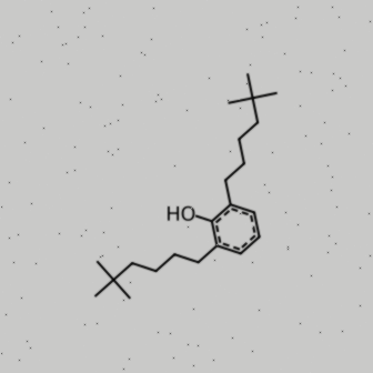 CC(C)(C)CCCCc1cccc(CCCCC(C)(C)C)c1O